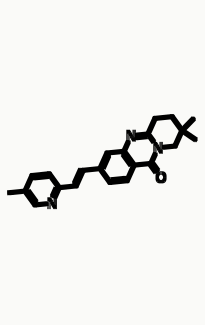 Cc1ccc(/C=C/c2ccc3c(=O)n4c(nc3c2)CCC(C)(C)C4)nc1